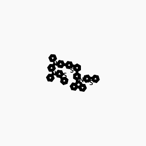 c1ccc(N(c2ccc(-c3ccc4c(c3)sc3c(-c5ccc6c7c8ccccc8c8ccccc8c7n(-c7ccc8c(c7)sc7ccccc78)c6c5)cccc34)cc2)c2cccc(N(c3ccccc3)c3ccc4sc5ccccc5c4c3)c2)cc1